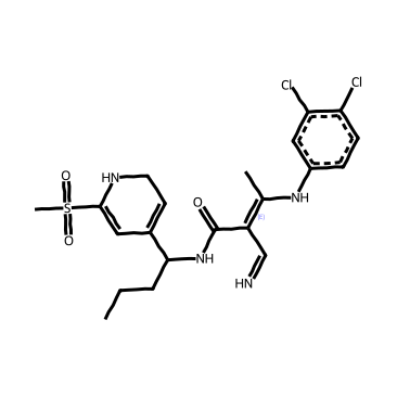 CCCC(NC(=O)/C(C=N)=C(\C)Nc1ccc(Cl)c(Cl)c1)C1=CCNC(S(C)(=O)=O)=C1